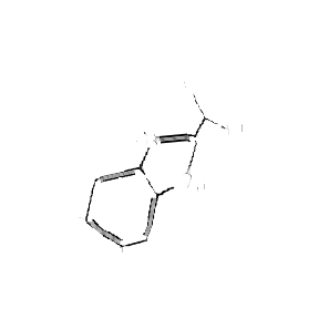 CCC([O])c1nc2ccccc2o1